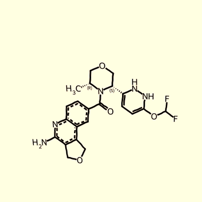 C[C@@H]1COC[C@H](C2=CC=C(OC(F)F)NN2)N1C(=O)c1ccc2nc(N)c3c(c2c1)COC3